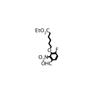 CCOC(=O)CCCCCOc1c(F)ccc(C=O)c1[N+](=O)[O-]